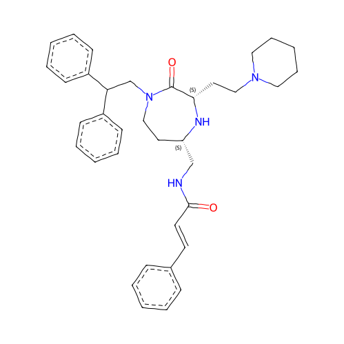 O=C(C=Cc1ccccc1)NC[C@@H]1CCN(CC(c2ccccc2)c2ccccc2)C(=O)[C@H](CCN2CCCCC2)N1